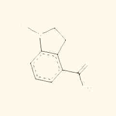 COC(=O)c1cccc2c1CCN2C(C)=O